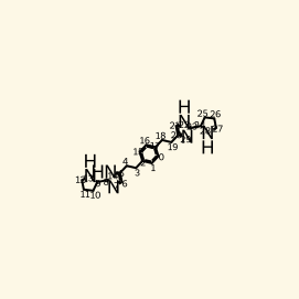 c1cc(CCc2cnc(C3CCCN3)[nH]2)ccc1CCc1c[nH]c(C2CCCN2)n1